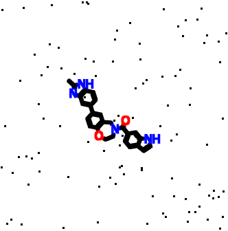 Cc1nc2cc(-c3ccc4c(c3)CN(C(=O)c3ccc5cc[nH]c5c3)CCO4)ccc2[nH]1